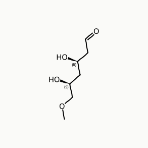 COC[C@@H](O)C[C@@H](O)CC=O